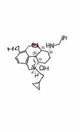 CC(C)CN[C@@H]1CC[C@@]2(O)[C@H]3Cc4ccc(O)c5c4[C@@]2(CCN3CC2CC2)[C@H]1O5